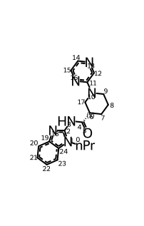 CCCn1c(NC(=O)[C@H]2CCCN(c3cnccn3)C2)nc2ccccc21